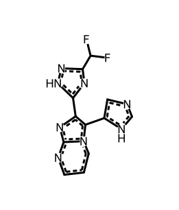 FC(F)c1n[nH]c(-c2nc3ncccn3c2-c2cnc[nH]2)n1